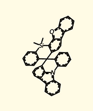 C[Si]1(C)c2ccccc2C2(c3ccccc3-n3c4ccccc4c4cccc2c43)c2ccc3c(oc4ccccc43)c21